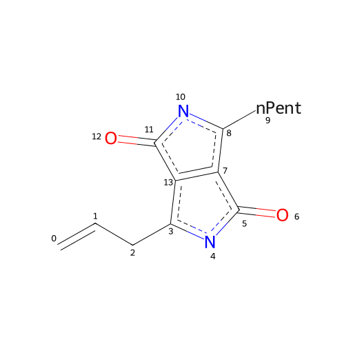 C=CCc1nc(=O)c2c(CCCCC)nc(=O)c1=2